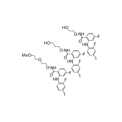 COCCOCCONC(=O)c1ccc(F)cc1Nc1ccc(I)cc1F.O=C(NOCCCO)c1ccc(F)cc1Nc1ccc(I)cc1F.O=C(NOCCO)c1ccc(F)cc1Nc1ccc(I)cc1F